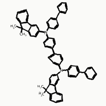 CC1(C)c2ccccc2-c2cc(N(c3ccc(-c4ccccc4)cc3)c3ccc(-c4ccc(N(c5ccc(-c6ccccc6)cc5)c5ccc6c(c5)-c5ccccc5C6(C)C)cc4)cc3)ccc21